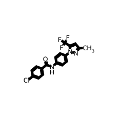 Cc1cc(C(F)(F)F)n(-c2ccc(NC(=O)c3ccc(Cl)cc3)cc2)n1